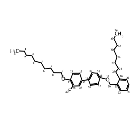 CCCCCCCCCCOc1ccc(-c2ccc(OCc3ccccc3CCCCCCCC)cc2)cc1F